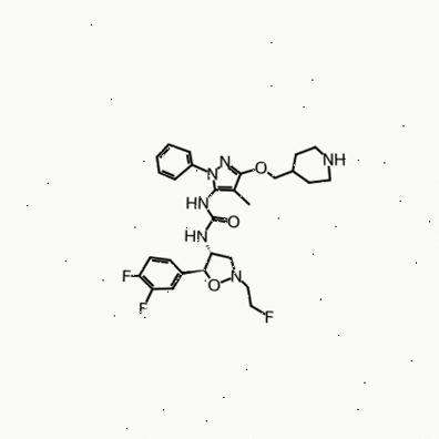 Cc1c(OCC2CCNCC2)nn(-c2ccccc2)c1NC(=O)N[C@@H]1CN(CCF)O[C@H]1c1ccc(F)c(F)c1